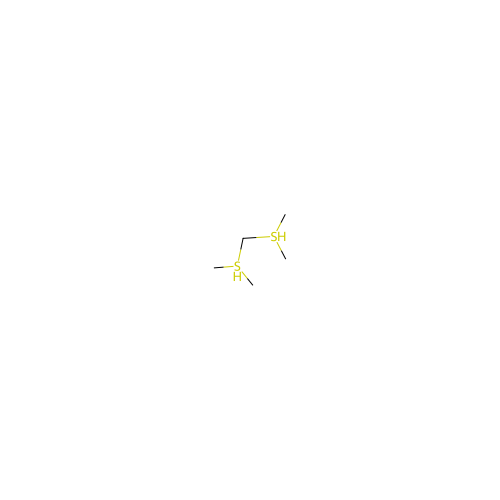 C[SH](C)C[SH](C)C